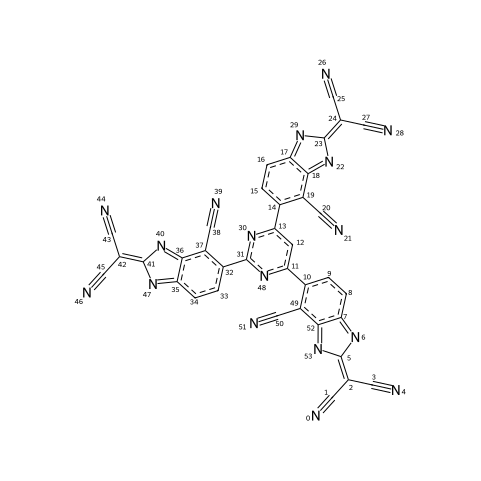 N#CC(C#N)=C1N=c2ccc(-c3cc(-c4ccc5c(c4C#N)=NC(=C(C#N)C#N)N=5)nc(-c4ccc5c(c4C#N)=NC(=C(C#N)C#N)N=5)n3)c(C#N)c2=N1